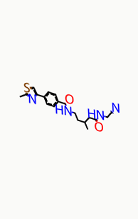 Cc1nc(-c2ccc(C(=O)NCCC(C)CC(=O)NCC#N)cc2)cs1